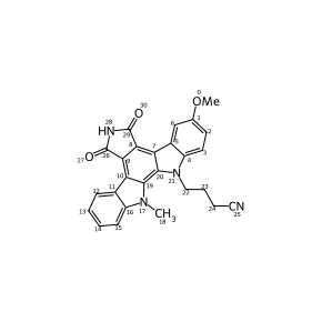 COc1ccc2c(c1)c1c3c(c4c5ccccc5n(C)c4c1n2CCCC#N)C(=O)NC3=O